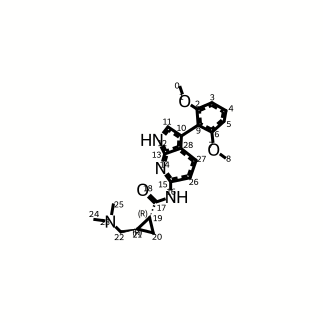 COc1cccc(OC)c1-c1c[nH]c2nc(NC(=O)[C@@H]3C[C@H]3CN(C)C)ccc12